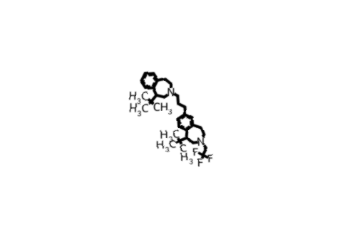 CC(C)(C)C1CN(CCCc2ccc3c(c2)CCN(CC(F)(F)F)CC3C(C)(C)C)CCc2ccccc21